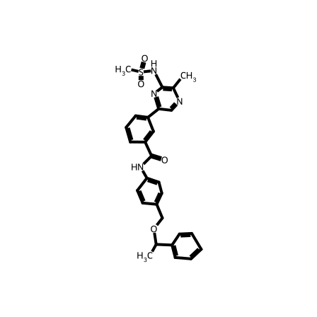 Cc1ncc(-c2cccc(C(=O)Nc3ccc(COC(C)c4ccccc4)cc3)c2)nc1NS(C)(=O)=O